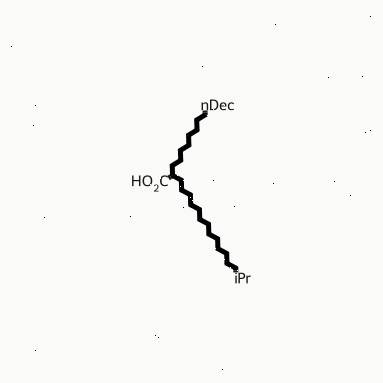 CCCCCCCCCCCCCCCCCCC(CCCCCCCCCCCCCC(C)C)C(=O)O